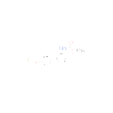 CC(C)(C)OC(=O)Nc1cccc(-c2ccc(OC(F)F)cc2)c1